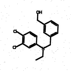 CCN(Cc1cccc(CO)c1)c1ccc(Cl)c(Cl)c1